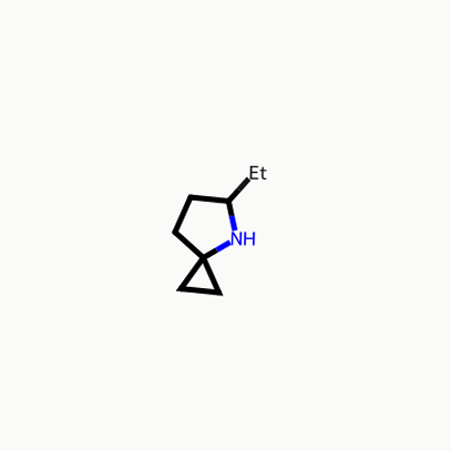 CCC1CCC2(CC2)N1